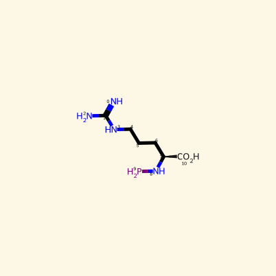 N=C(N)NCCC[C@H](NP)C(=O)O